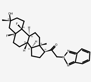 C[C@@]1(O)CC[C@]2(F)[C@H]3CC[C@]4(C)[C@@H](C(=O)Cn5nc6ccccc6n5)CC[C@H]4[C@@H]3CC[C@]2(F)C1